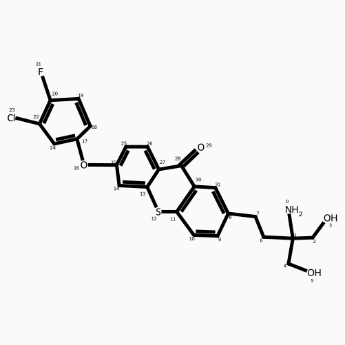 NC(CO)(CO)CCc1ccc2sc3cc(Oc4ccc(F)c(Cl)c4)ccc3c(=O)c2c1